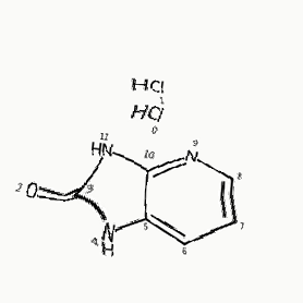 Cl.Cl.O=c1[nH]c2cccnc2[nH]1